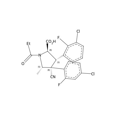 CCC(=O)N1[C@@H](C)[C@](C#N)(c2ccc(Cl)cc2F)[C@@H](c2cccc(Cl)c2F)[C@@H]1C(=O)O